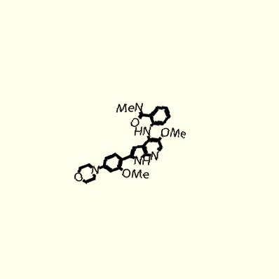 CNC(=O)c1ccccc1Nc1c(OC)cnc2[nH]c(-c3ccc(N4CCOCC4)cc3OC)cc12